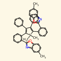 Cc1ccc2oc(-c3ccccc3C3=C(c4ccccc4)C(c4ccccc4)=C(c4ccccc4-c4nc5cc(C)ccc5o4)[Si]3(C)C)nc2c1